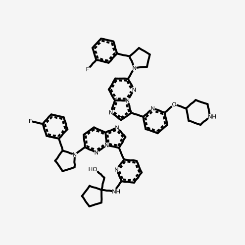 Fc1cccc(C2CCCN2c2ccc3ncc(-c4cccc(OC5CCNCC5)n4)n3n2)c1.OCC1(Nc2cccc(-c3cnc4ccc(N5CCCC5c5cccc(F)c5)nn34)n2)CCCC1